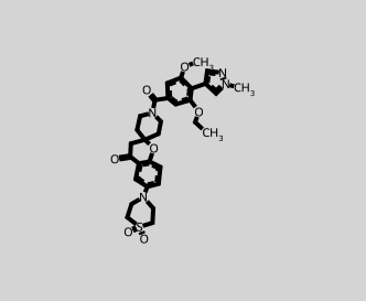 CCOc1cc(C(=O)N2CCC3(CC2)CC(=O)c2cc(N4CCS(=O)(=O)CC4)ccc2O3)cc(OC)c1-c1cnn(C)c1